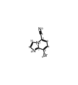 N#Cc1ccc(Br)c2nccn12